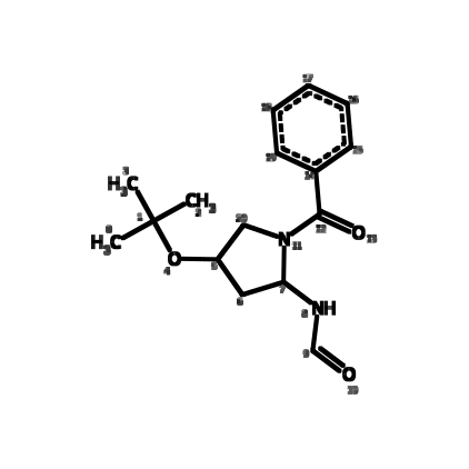 CC(C)(C)OC1CC(NC=O)N(C(=O)c2ccccc2)C1